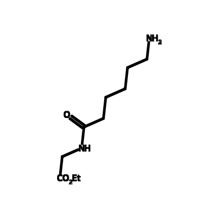 CCOC(=O)CNC(=O)CCCCCN